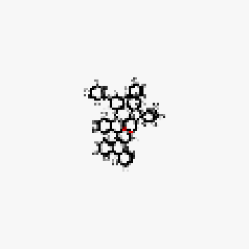 c1ccc(-c2cc(-c3ccccc3)cc(N(c3ccccc3-c3ccccc3-c3ccccc3-c3ccccc3)c3cccc4c3-c3ccccc3C43CC4CCC3C4)c2)cc1